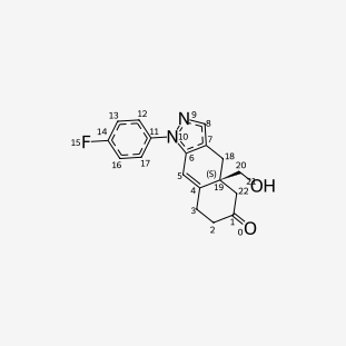 O=C1CCC2=Cc3c(cnn3-c3ccc(F)cc3)C[C@]2(CO)C1